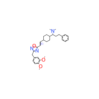 COc1ccc(Cc2noc(/C=C/C3CCC(C(CCc4ccccc4)N(C)C)CC3)n2)cc1OC